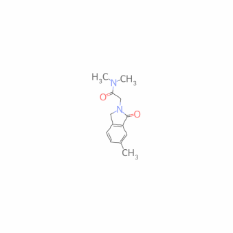 Cc1ccc2c(c1)C(=O)N(CC(=O)N(C)C)C2